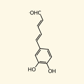 O=[C]C=CC=Cc1ccc(O)c(O)c1